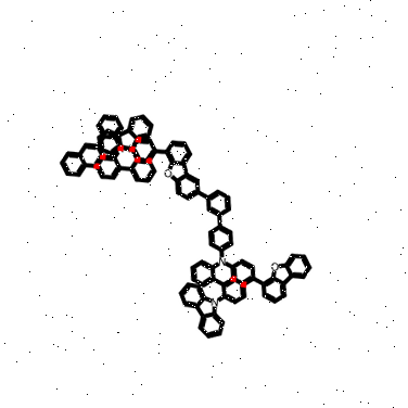 c1cc(-c2ccc(N(c3ccc(-c4cccc5c4oc4ccccc45)cc3)c3ccccc3-c3ccccc3-n3c4ccccc4c4ccccc43)cc2)cc(-c2ccc3oc4c(-c5ccc(N(c6ccccc6-c6ccc7ccccc7c6)c6ccccc6-c6ccccc6-n6c7ccccc7c7ccccc76)cc5)cccc4c3c2)c1